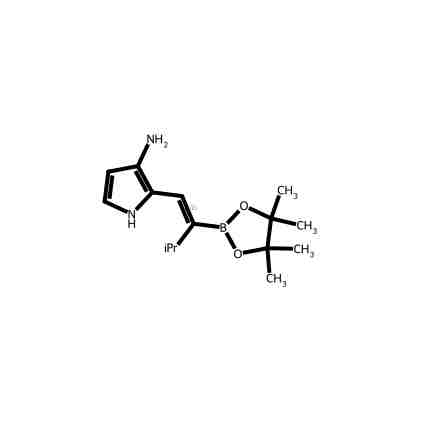 CC(C)/C(=C\c1[nH]ccc1N)B1OC(C)(C)C(C)(C)O1